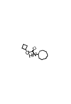 O=C(NC1CCCCCCC1)OC1CCC1